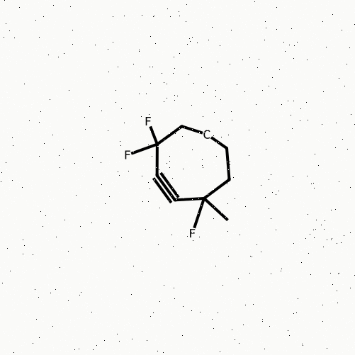 CC1(F)C#CC(F)(F)CCCC1